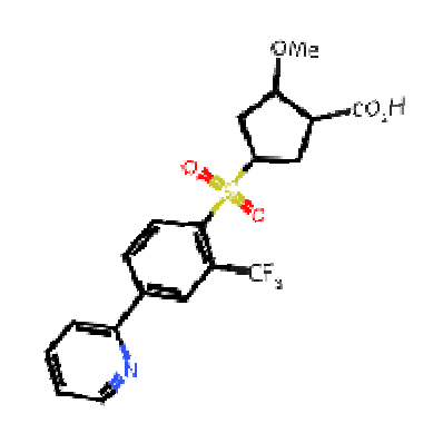 COC1CC(S(=O)(=O)c2ccc(-c3ccccn3)cc2C(F)(F)F)CC1C(=O)O